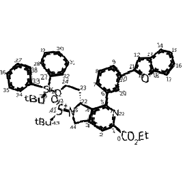 CCOC(=O)c1cc2c(c(-c3cccc(-c4cc5ccccc5o4)c3)n1)[C@@H](CCO[Si](c1ccccc1)(c1ccccc1)C(C)(C)C)N([S@+]([O-])C(C)(C)C)C2